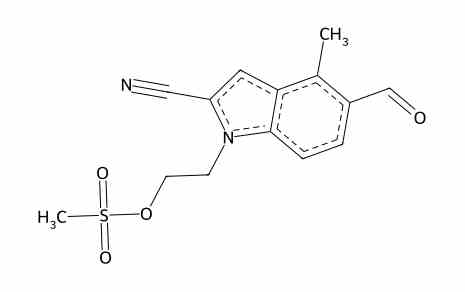 Cc1c(C=O)ccc2c1cc(C#N)n2CCOS(C)(=O)=O